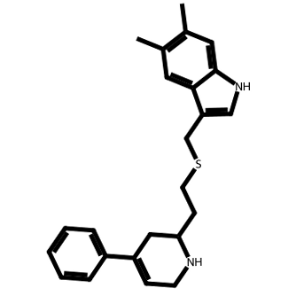 Cc1cc2[nH]cc(CSCCC3CC(c4ccccc4)=CCN3)c2cc1C